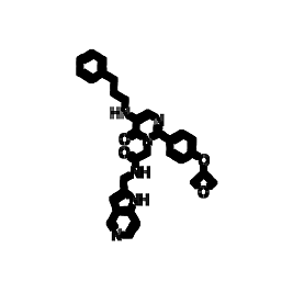 O=C(Cn1c(-c2ccc(OC3COC3)cc2)ncc(NCCCc2ccccc2)c1=O)NCc1cc2cnccc2[nH]1